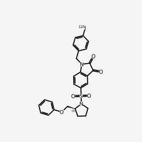 O=C1C(=O)N(Cc2ccc([125I])cc2)c2ccc(S(=O)(=O)N3CCC[C@H]3COc3ccccc3)cc21